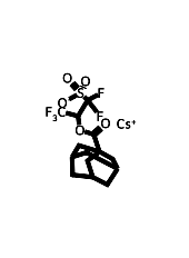 O=C(OC(C(F)(F)F)C(F)(F)S(=O)(=O)[O-])C12CC3CC(CC(C3)C1)C2.[Cs+]